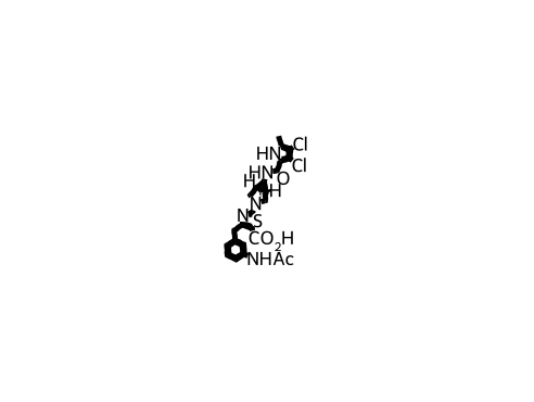 CC(=O)Nc1cccc(Cc2nc(N3C[C@@H]4C(NC(=O)c5[nH]c(C)c(Cl)c5Cl)[C@@H]4C3)sc2C(=O)O)c1